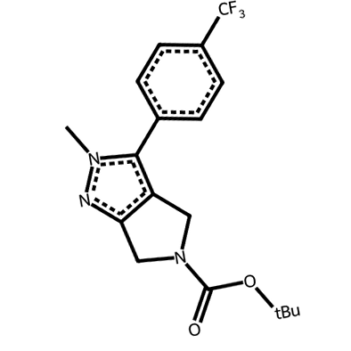 Cn1nc2c(c1-c1ccc(C(F)(F)F)cc1)CN(C(=O)OC(C)(C)C)C2